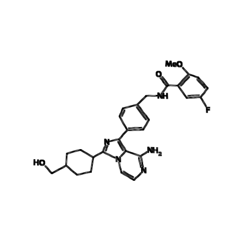 COc1ccc(F)cc1C(=O)NCc1ccc(-c2nc(C3CCC(CO)CC3)n3ccnc(N)c23)cc1